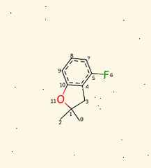 CC1(C)Cc2c(F)cccc2O1